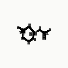 CNC[C@@H]1CCCN(C)C1